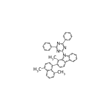 Cc1ccc(-c2ccc3c4ccccc4n(-c4nc(-c5ccccc5)nc(-c5ccccc5)n4)c3c2C)c2c(C)cccc12